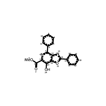 COC(=O)c1nc(-c2ccccc2)c2nc(-c3ccccc3)oc2c1O